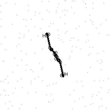 C=CC(=O)NCCCCCCCCCCCOC1CCC(C(=O)Oc2ccc(OC(=O)C#Cc3ccc(OCCCCCCCCCCCNC(=O)C(=C)C)cc3)cc2)CC1